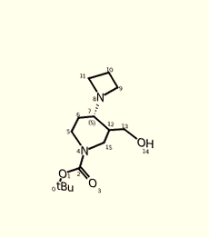 CC(C)(C)OC(=O)N1CC[C@H](N2CCC2)C(CO)C1